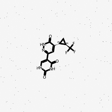 O=c1[nH]cc(-c2cc([C@@H]3C[C@H]3C(F)(F)F)c(=O)[nH]n2)c(=O)[nH]1